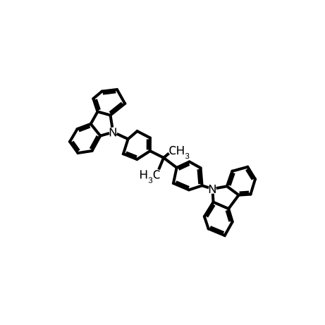 CC(C)(C1=CCC(n2c3ccccc3c3ccccc32)C=C1)c1ccc(-n2c3ccccc3c3ccccc32)cc1